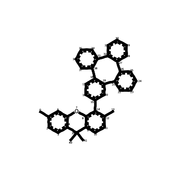 Cc1ccc2c(c1)Oc1c(ccc(C)c1-c1ccc3c(c1)-c1ccccc1-c1ccccc1-c1ccccc1-3)C2(C)C